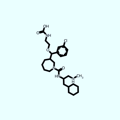 CNCC(CC1CCCCC1)NC(=O)N1CCCCC(C(OCCNC(=O)O)c2cccc(Cl)c2)C1